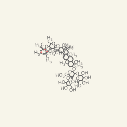 C/C=C(/C)C(=O)OC1C(O)[C@H](O[C@H]2[C@H](O)[C@@]3(COC(C)=O)C(CC2(C)C)C2=CCC4[C@@]5(C)CC[C@H](O[C@@H]6OC(C(=O)O)C7(O[C@@H]8O[C@@H](CO)C(O)C8O)C(C6O[C@@H]6OC(CO)[C@H](O)C(O)C6O)[C@@H]7O)C(C)(C)C5CC[C@@]4(C)[C@]2(C)C[C@H]3O)OC(C)[C@@H]1OC(=O)/C(C)=C\C